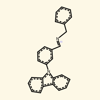 C(=N\Cc1ccccc1)/c1cccc(-n2c3ccccc3c3ccccc32)c1